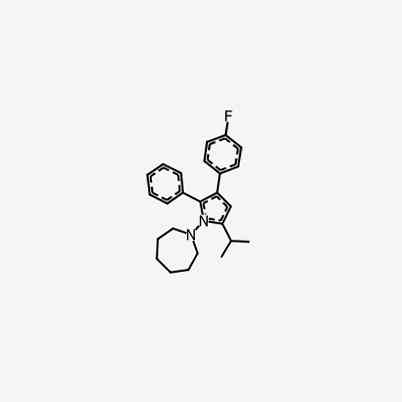 CC(C)c1cc(-c2ccc(F)cc2)c(-c2ccccc2)n1N1CCCCCC1